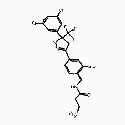 CCCC(=O)NCc1ccc(C2=NOC(c3cc(Cl)cc(Cl)c3)(C(F)(F)F)C2)cc1C